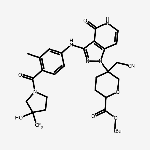 Cc1cc(Nc2nn(C3(CC#N)CCC(C(=O)OC(C)(C)C)OC3)c3cc[nH]c(=O)c23)ccc1C(=O)N1CCC(O)(C(F)(F)F)C1